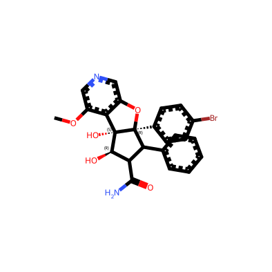 COc1cncc2c1[C@]1(O)[C@H](O)C(C(N)=O)C(c3ccccc3)[C@]1(c1ccc(Br)cc1)O2